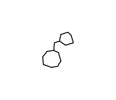 C1CCCC(CC2CCCCC2)CCC1